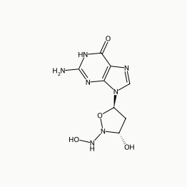 Nc1nc2c(ncn2[C@H]2C[C@H](O)N(NO)O2)c(=O)[nH]1